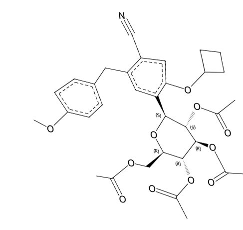 COc1ccc(Cc2cc([C@@H]3O[C@H](COC(C)=O)[C@@H](OC(C)=O)[C@H](OC(C)=O)[C@H]3OC(C)=O)c(OC3CCC3)cc2C#N)cc1